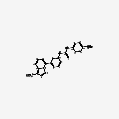 CCOC(=O)c1cnn2c(-c3cccc(NC(=O)Nc4ccc(SC)cc4)c3)ccnc12